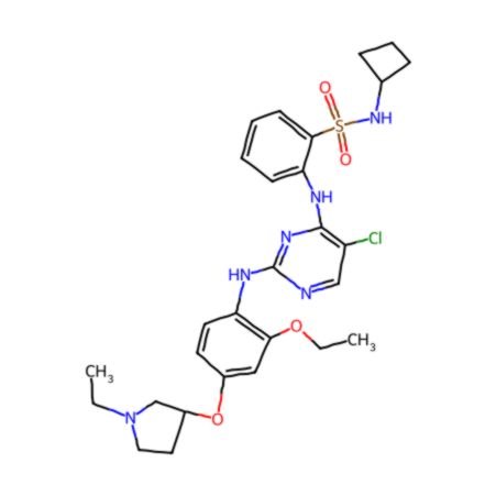 CCOc1cc(OC2CCN(CC)C2)ccc1Nc1ncc(Cl)c(Nc2ccccc2S(=O)(=O)NC2CCC2)n1